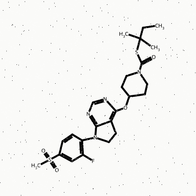 CCC(C)(C)SC(=O)N1CCC(Oc2ncnc3c2CCN3c2ccc(S(C)(=O)=O)cc2F)CC1